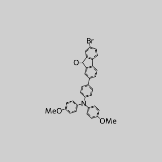 COc1ccc(N(c2ccc(OC)cc2)c2ccc(-c3ccc4c(c3)C(=O)c3cc(Br)ccc3-4)cc2)cc1